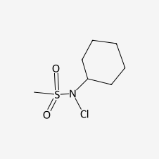 CS(=O)(=O)N(Cl)C1CCCCC1